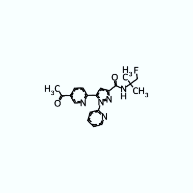 CC(=O)c1ccc(-c2cc(C(=O)NC(C)(C)CF)nn2-c2ccccn2)nc1